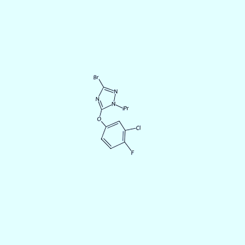 CC(C)n1nc(Br)nc1Oc1ccc(F)c(Cl)c1